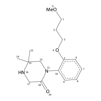 COCCCOc1ccccc1N1CC(C)(C)NCC1=O